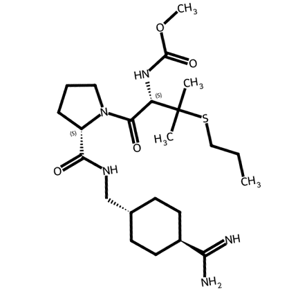 CCCSC(C)(C)[C@@H](NC(=O)OC)C(=O)N1CCC[C@H]1C(=O)NC[C@H]1CC[C@H](C(=N)N)CC1